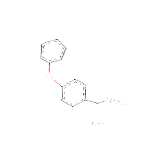 CCC[C@@H](NC)c1ccc(Oc2ccccc2)cc1